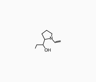 C=CN1CCCC1C(O)CC